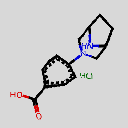 Cl.O=C(O)c1ccc(N2CC3CCC(C2)N3)cc1